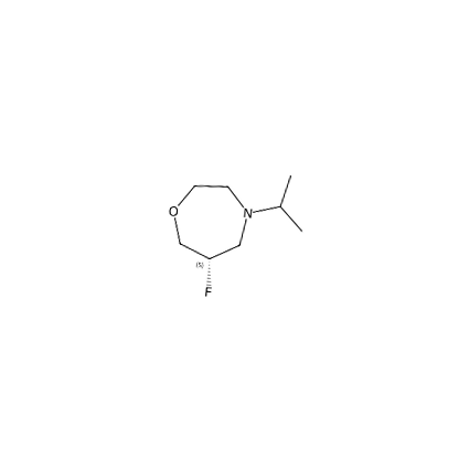 CC(C)N1CCOC[C@@H](F)C1